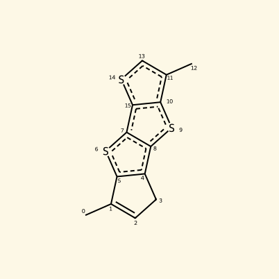 CC1=CCc2c1sc1c2sc2c(C)csc21